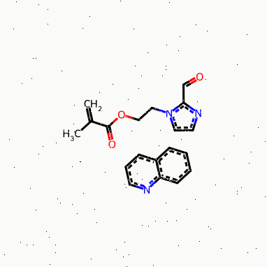 C=C(C)C(=O)OCCn1ccnc1C=O.c1ccc2ncccc2c1